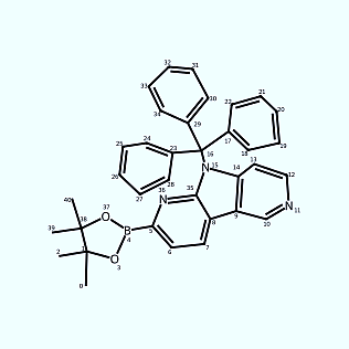 CC1(C)OB(c2ccc3c4cnccc4n(C(c4ccccc4)(c4ccccc4)c4ccccc4)c3n2)OC1(C)C